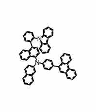 c1ccc(-n2c3ccccc3c3ccccc32)c(-c2ccc(N(c3ccc(-c4cc5ccccc5c5ccccc45)cc3)c3ccc4ccccc4c3)c3ccccc23)c1